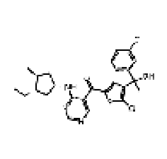 CC[C@H]1C[C@@H](Nc2ncncc2C(=O)c2cc(C(C)(O)c3cccc(Cl)c3)c(Cl)s2)C[C@@H]1C